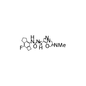 CN[C@@H]1COc2c([SH]=NC(=O)Nc3c4c(c(F)c5c3CC5)CCC4)cnn2C1